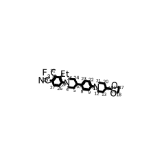 CCc1c(N2CCC(c3ccc(N4CCC(C5OCCO5)CC4)cc3)CC2)ccc(C#N)c1C(F)(F)F